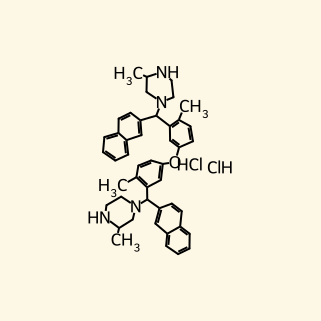 Cc1ccc(Oc2ccc(C)c(C(c3ccc4ccccc4c3)N3CCNC(C)C3)c2)cc1C(c1ccc2ccccc2c1)N1CCNC(C)C1.Cl.Cl